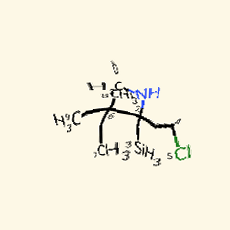 CNC([SiH3])(CCl)C(C)(C)C